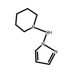 c1cnn(NN2CCCCC2)c1